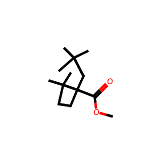 COC(=O)C1(CC(C)(C)C)CCC1(C)C